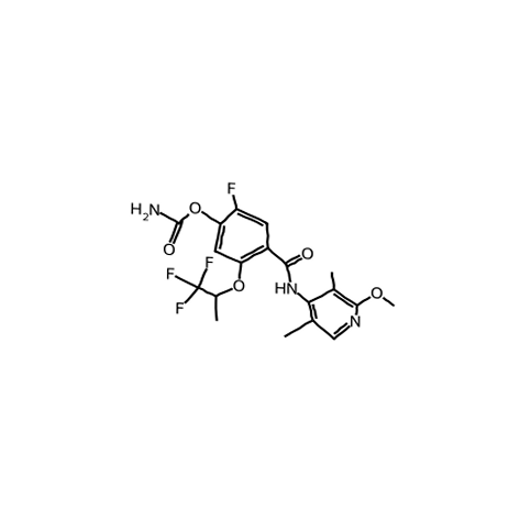 COc1ncc(C)c(NC(=O)c2cc(F)c(OC(N)=O)cc2OC(C)C(F)(F)F)c1C